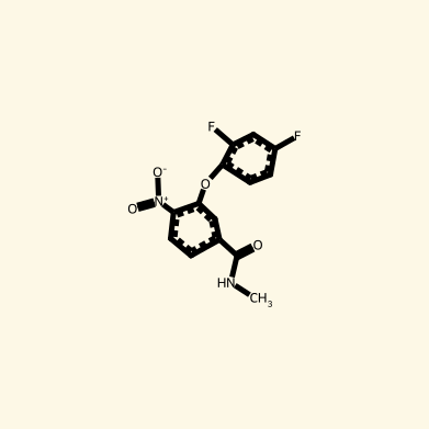 CNC(=O)c1ccc([N+](=O)[O-])c(Oc2ccc(F)cc2F)c1